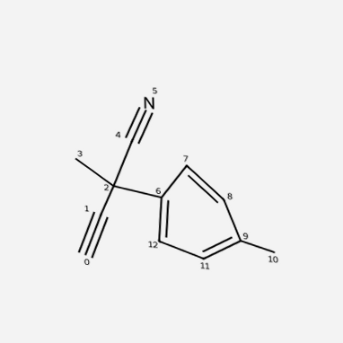 C#CC(C)(C#N)c1ccc(C)cc1